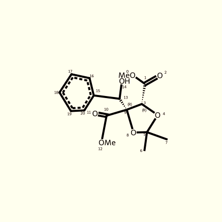 COC(=O)[C@@H]1OC(C)(C)O[C@]1(C(=O)OC)C(O)c1ccccc1